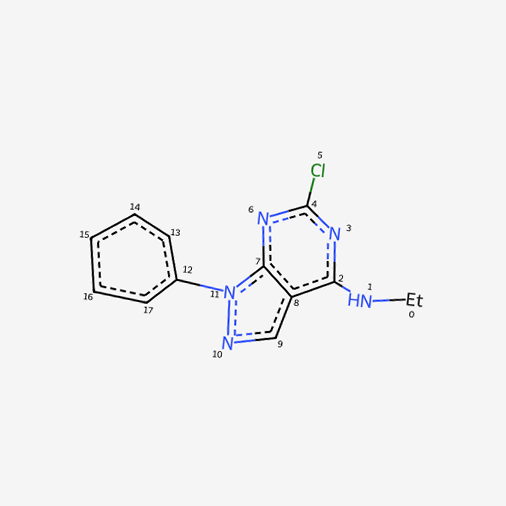 CCNc1nc(Cl)nc2c1cnn2-c1ccccc1